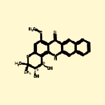 COc1cc2c(c3[nH]c4cc5ccccc5cc4c(=O)c13)[C@H](O)[C@H](O)C(C)(C)O2